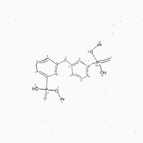 CC(C)OP(=O)(O)c1cccc(Oc2cccc(P(=O)(O)OC(C)C)c2)c1